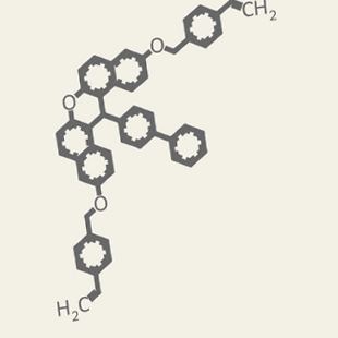 C=Cc1ccc(COc2ccc3c4c(ccc3c2)Oc2ccc3cc(OCc5ccc(C=C)cc5)ccc3c2C4c2ccc(-c3ccccc3)cc2)cc1